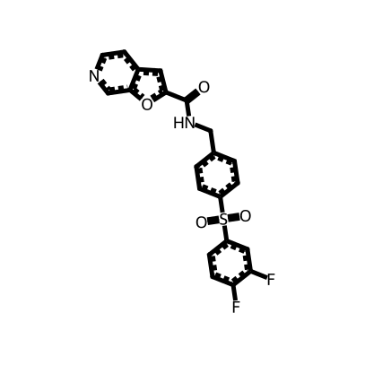 O=C(NCc1ccc(S(=O)(=O)c2ccc(F)c(F)c2)cc1)c1cc2ccncc2o1